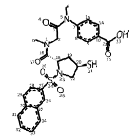 CN(CC(=O)N(C)c1ccc(C(=O)O)cc1)C(=O)[C@@H]1C[C@@H](S)CN1S(=O)(=O)c1ccc2ccccc2c1